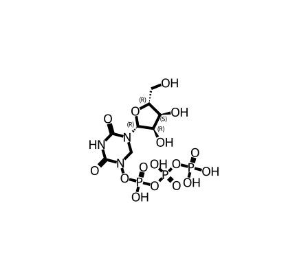 O=C1NC(=O)N([C@@H]2O[C@H](CO)[C@@H](O)[C@H]2O)CN1OP(=O)(O)OP(=O)(O)OP(=O)(O)O